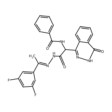 CC(=NNC(=O)C(NC(=O)c1ccccc1)c1n[nH]c(=O)c2ccccc12)c1cc(F)cc(F)c1